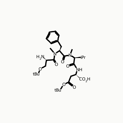 CC(C)[C@@H](C(=O)N[C@@H](CC(=O)OC(C)(C)C)C(=O)O)N(C)C(=O)[C@H](Cc1ccccc1)N(C)C(=O)[C@@H](N)COC(C)(C)C